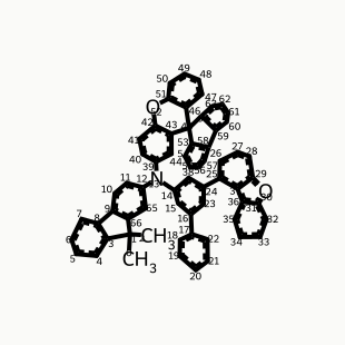 CC1(C)c2ccccc2-c2ccc(N(c3cc(-c4ccccc4)cc(-c4cccc5oc6ccccc6c45)c3)c3ccc4c(c3)C3(c5ccccc5O4)c4ccccc4-c4ccccc43)cc21